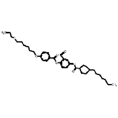 C=CCOCCCCCCOc1ccc(C(=O)Oc2ccc(OC(=O)C3CCC(CCCCCCC)CC3)cc2C=O)cc1